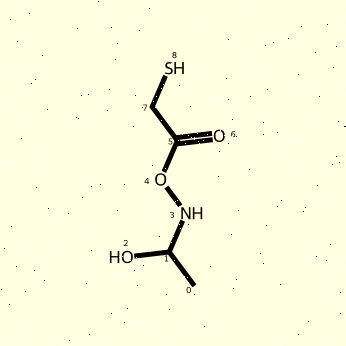 CC(O)NOC(=O)CS